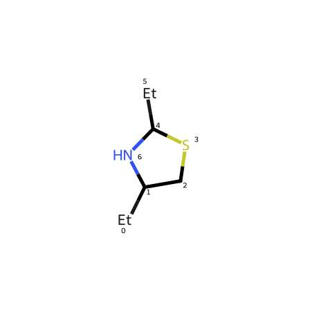 CCC1CSC(CC)N1